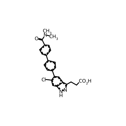 CN(C)C(=O)c1ccc(-c2ccc(-c3cc4c(CCC(=O)O)n[nH]c4cc3Cl)cc2)cc1